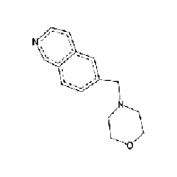 c1cc2cc(CN3CCOCC3)ccc2cn1